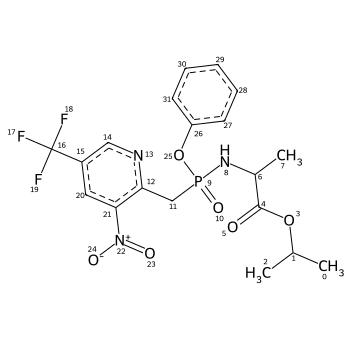 CC(C)OC(=O)C(C)NP(=O)(Cc1ncc(C(F)(F)F)cc1[N+](=O)[O-])Oc1ccccc1